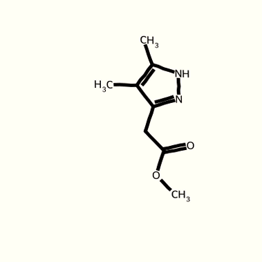 COC(=O)Cc1n[nH]c(C)c1C